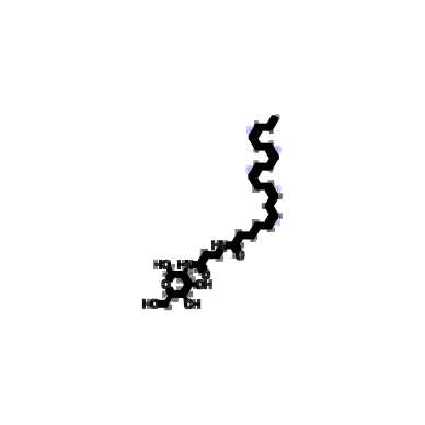 CC/C=C\C/C=C\C/C=C\C/C=C\C/C=C\CCCC(=O)NCCC(=O)N[C@@H]1[C@@H](O)[C@H](O)[C@@H](CO)O[C@H]1O